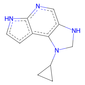 c1cc2c3c(cnc2[nH]1)NCN3C1CC1